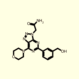 NC(=O)Cn1nnc2c(N3CCOCC3)nc(-c3cccc(CO)c3)nc21